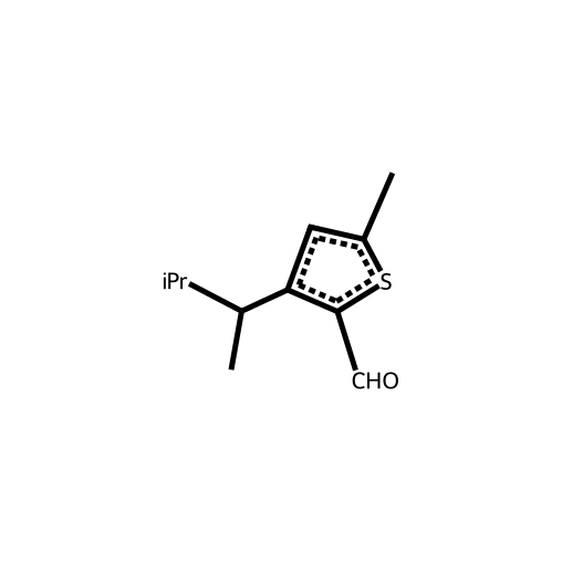 Cc1cc(C(C)C(C)C)c(C=O)s1